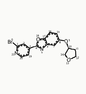 Brc1cc(-c2nc3cc(O[C@H]4CCOC4)ccc3o2)ccn1